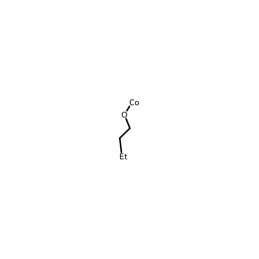 CCCC[O][Co]